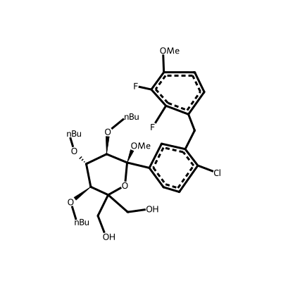 CCCCO[C@@H]1[C@@H](OCCCC)[C@](OC)(c2ccc(Cl)c(Cc3ccc(OC)c(F)c3F)c2)OC(CO)(CO)[C@H]1OCCCC